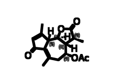 CC(=O)O[C@H]1CC(C)=C2C(=O)C=C(C)[C@@H]2[C@H]2OC(=O)[C@@H](C)[C@@H]21